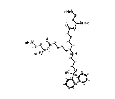 CCCCCCSCC(CCCCCC)OC(=O)CCCCC(CCCCC(=O)OC(CCCCCC)CSCCCCCC)NCCCO[Si](c1ccccc1)(c1ccccc1)C(C)(C)C